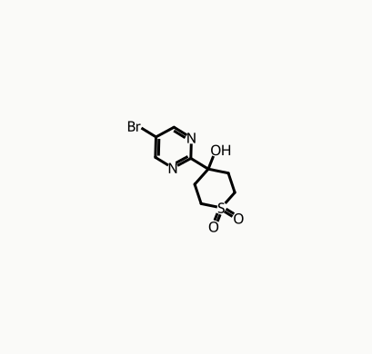 O=S1(=O)CCC(O)(c2ncc(Br)cn2)CC1